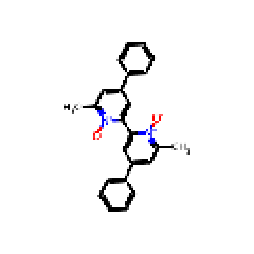 Cc1cc(-c2ccccc2)cc(-c2cc(-c3ccccc3)cc(C)[n+]2[O-])[n+]1[O-]